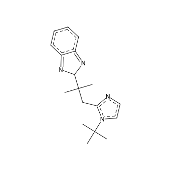 CC(C)(Cc1nccn1C(C)(C)C)C1N=c2ccccc2=N1